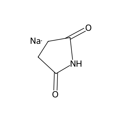 O=C1CCC(=O)N1.[Na]